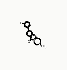 CN1CCc2nc3cc(-c4cccc(F)c4)ccc3c(=O)n2CC1